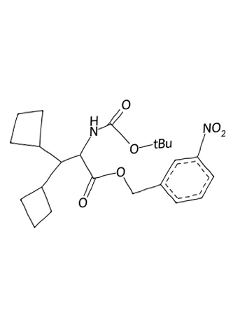 CC(C)(C)OC(=O)NC(C(=O)OCc1cccc([N+](=O)[O-])c1)C(C1CCC1)C1CCC1